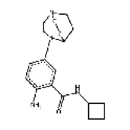 Nc1ccc(N2CCN3CCC2CC3)cc1C(=O)NC1CCC1